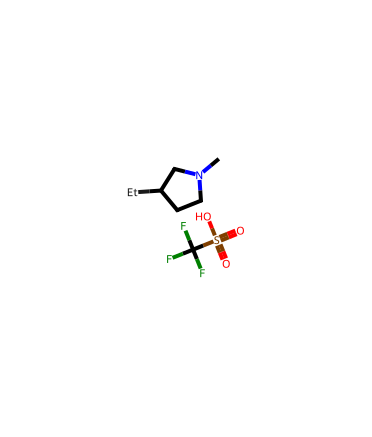 CCC1CCN(C)C1.O=S(=O)(O)C(F)(F)F